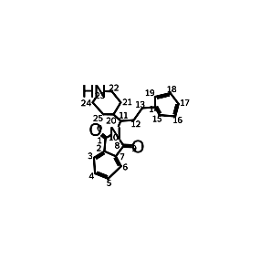 O=C1c2ccccc2C(=O)N1C(CCc1ccccc1)C1CCNCC1